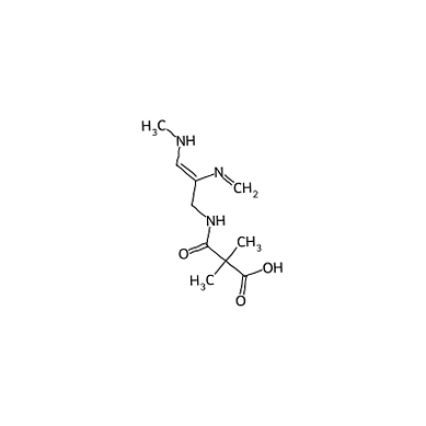 C=N/C(=C\NC)CNC(=O)C(C)(C)C(=O)O